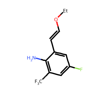 CCOC=Cc1cc(F)cc(C(F)(F)F)c1N